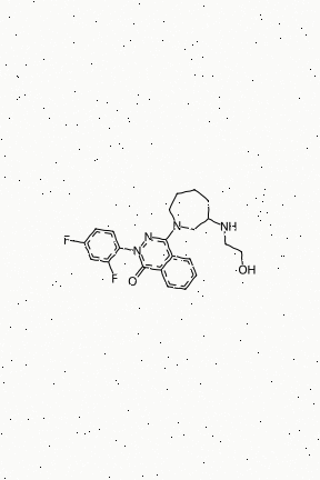 O=c1c2ccccc2c(N2CCCCC(NCCO)C2)nn1-c1ccc(F)cc1F